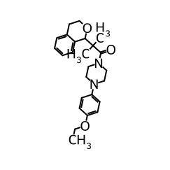 CCOc1ccc(N2CCN(C(=O)C(C)(C)C3OCCc4ccccc43)CC2)cc1